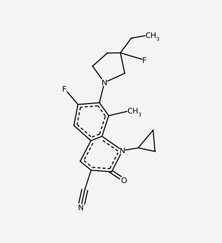 CCC1(F)CCN(c2c(F)cc3cc(C#N)c(=O)n(C4CC4)c3c2C)C1